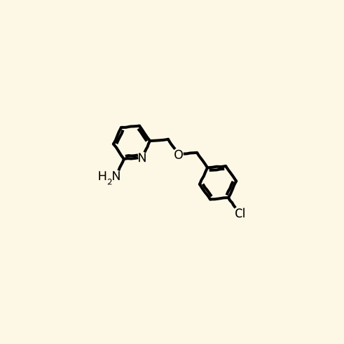 Nc1cccc(COCc2ccc(Cl)cc2)n1